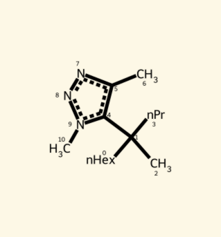 CCCCCCC(C)(CCC)c1c(C)nnn1C